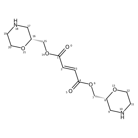 O=C(/C=C/C(=O)OC[C@H]1CNCCO1)OC[C@H]1CNCCO1